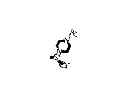 [CH2]C(=O)N1CCN([S+](C)[O-])CC1